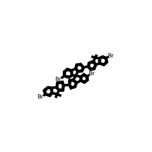 CC1(C)c2cc(Br)ccc2-c2ccc(-c3ccc4c(c3)C3(c5cc(Br)ccc5-4)c4cc(Br)ccc4-c4ccc(-c5ccc6c(c5)C(C)(C)c5cc(Br)ccc5-6)cc43)cc21